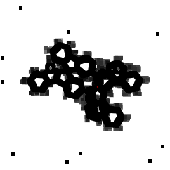 c1ccc(N(c2ccc3c(c2)C2(c4ccccc4-c4ccc(N(c5ccccc5)c5ccc6sc7ccccc7c6c5)cc42)c2oc4ccccc4c2-3)c2ccc3oc4ccccc4c3c2)cc1